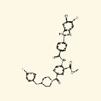 COC(=O)c1cc(C(=O)N2CCC(Cc3ccc(F)cc3)CC2)ccc1NC(=O)c1ccc(-c2nc3cc(Cl)c(Cl)cc3[nH]2)cc1